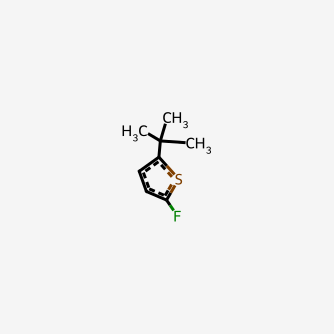 CC(C)(C)c1ccc(F)s1